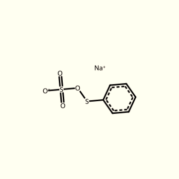 O=S(=O)([O-])OSc1ccccc1.[Na+]